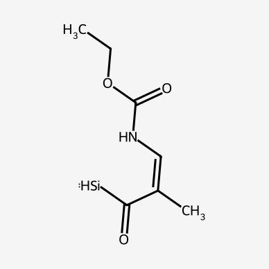 CCOC(=O)NC=C(C)C(=O)[SiH]